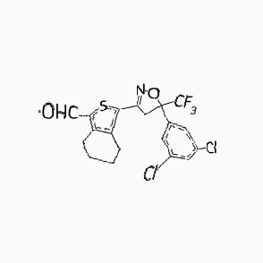 O=[C]c1sc(C2=NOC(c3cc(Cl)cc(Cl)c3)(C(F)(F)F)C2)c2c1CCCC2